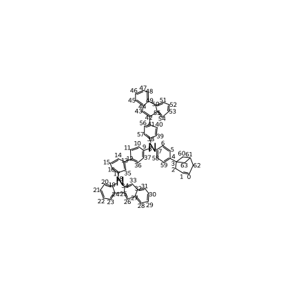 C1=CCC2(c3ccc(N(c4ccc(-c5cccc(-n6c7ccccc7c7cc8ccccc8cc76)c5)cc4)c4ccc(-c5cc6ccccc6c6ccccc56)cc4)cc3)CC(C1)C2